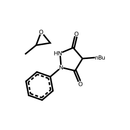 CC1CO1.CCCCC1C(=O)NN(c2ccccc2)C1=O